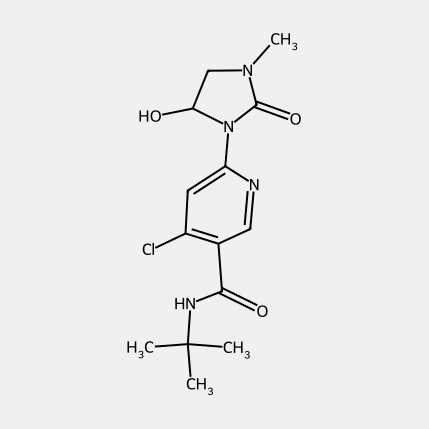 CN1CC(O)N(c2cc(Cl)c(C(=O)NC(C)(C)C)cn2)C1=O